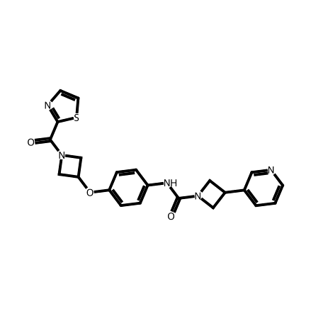 O=C(Nc1ccc(OC2CN(C(=O)c3nccs3)C2)cc1)N1CC(c2cccnc2)C1